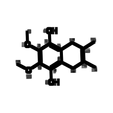 COc1c(O)c2c(c(O)c1OC)CC(C)=C(C)C2